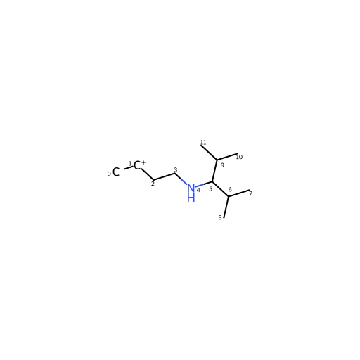 [CH2-][CH+]CCNC(C(C)C)C(C)C